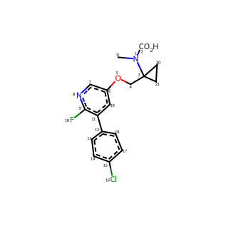 CN(C(=O)O)C1(COc2cnc(F)c(-c3ccc(Cl)cc3)c2)CC1